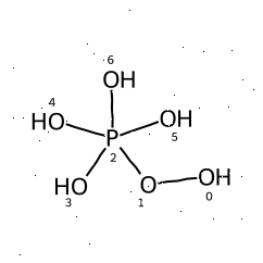 OOP(O)(O)(O)O